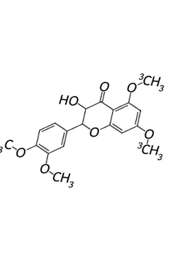 COc1ccc(C2Oc3cc(O[3CH3])cc(O[3CH3])c3C(=O)C2O)cc1OC